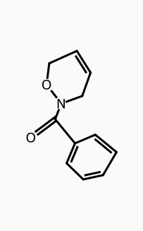 O=C(c1ccccc1)N1CC=CCO1